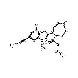 CC#Cc1cc(F)c(CC(=O)N2CCOCCN2C(=O)OCC)c(OC)c1